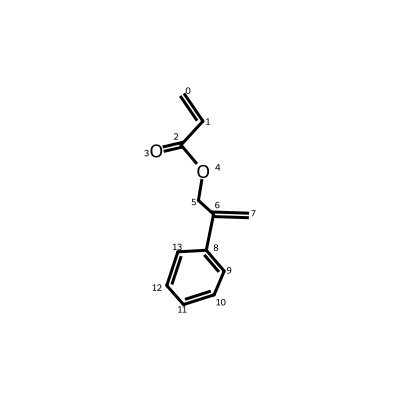 C=CC(=O)OCC(=C)c1ccccc1